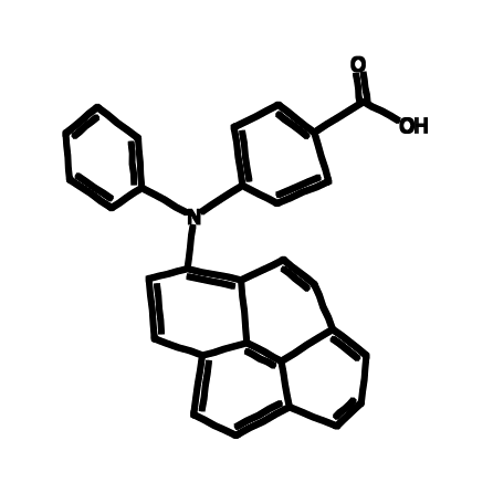 O=C(O)c1ccc(N(c2ccccc2)c2ccc3ccc4cccc5ccc2c3c45)cc1